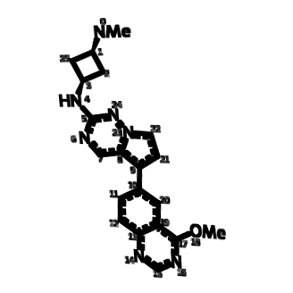 CN[C@H]1C[C@@H](Nc2ncc3c(-c4ccc5ncnc(OC)c5c4)ccn3n2)C1